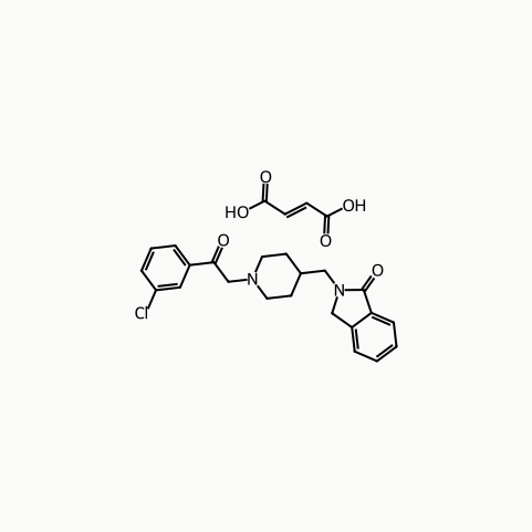 O=C(CN1CCC(CN2Cc3ccccc3C2=O)CC1)c1cccc(Cl)c1.O=C(O)C=CC(=O)O